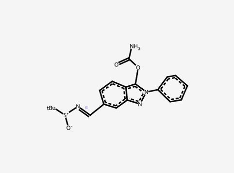 CC(C)(C)[S+]([O-])/N=C/c1ccc2c(OC(N)=O)n(-c3ccccc3)nc2c1